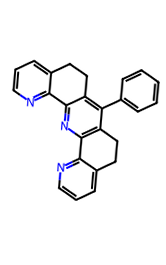 c1ccc(-c2c3c(nc4c2CCc2cccnc2-4)-c2ncccc2CC3)cc1